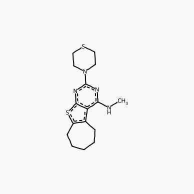 CNc1nc(N2CCSCC2)nc2sc3c(c12)CCCCC3